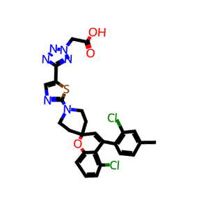 Cc1ccc(C2=CC3(CCN(c4ncc(-c5nnn(CC(=O)O)n5)s4)CC3)Oc3cccc(Cl)c32)c(Cl)c1